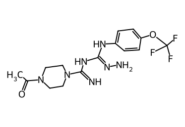 CC(=O)N1CCN(C(=N)NC(=NN)Nc2ccc(OC(F)(F)F)cc2)CC1